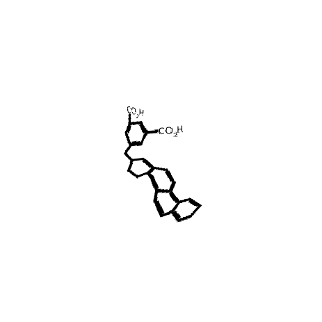 O=C(O)c1cc(CC2C=c3ccc4c5c(ccc4c3CC2)=CCC=C5)cc(C(=O)O)c1